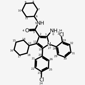 Nc1c(C(=O)NC2CCCCC2)c(C2CCCCC2)c(-c2ccc(Cl)cc2)n1-c1ccccc1Cl